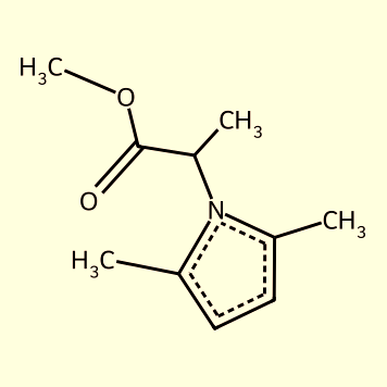 COC(=O)C(C)n1c(C)ccc1C